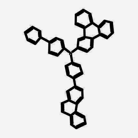 c1ccc(-c2ccc(N(c3ccc(-c4ccc5c(ccc6ccccc65)c4)cc3)c3ccc4c5ccccc5c5ccccc5c4c3)cc2)cc1